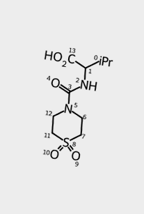 CC(C)C(NC(=O)N1CCS(=O)(=O)CC1)C(=O)O